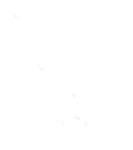 Cn1nc(C(F)(F)F)cc1NC(=O)c1ccc2cc(-c3ccncc3F)cnc2c1